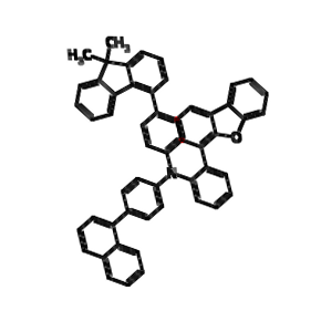 CC1(C)c2ccccc2-c2c(-c3ccc(N(c4ccc(-c5cccc6ccccc56)cc4)c4ccccc4-c4cccc5c4oc4ccccc45)cc3)cccc21